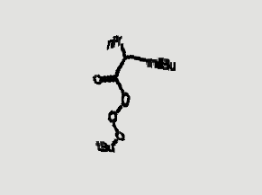 CCCCC(CCC)C(=O)OOOC(C)(C)C